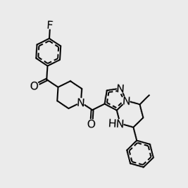 CC1CC(c2ccccc2)Nc2c(C(=O)N3CCC(C(=O)c4ccc(F)cc4)CC3)cnn21